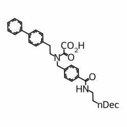 CCCCCCCCCCCCNC(=O)c1ccc(CN(CCc2ccc(-c3ccccc3)cc2)C(=O)C(=O)O)cc1